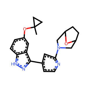 CC1(Oc2ccc3[nH]nc(-c4ccnc(N5CC6CCC(C5)O6)c4)c3c2)CC1